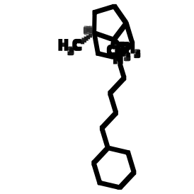 CC1(C)C2CC[C@]1(C)CN(CCCCC1CCCCC1)C2